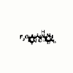 O=C(Cc1cc(C(F)(F)F)ccn1)Nc1ccc(I)nn1